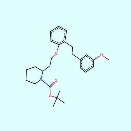 COc1cccc(CCc2ccccc2OCCC2CCCCN2C(=O)OC(C)(C)C)c1